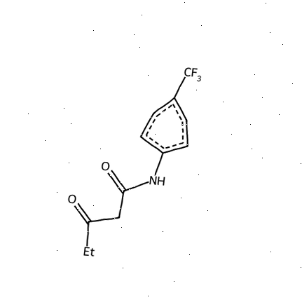 CCC(=O)CC(=O)Nc1ccc(C(F)(F)F)cc1